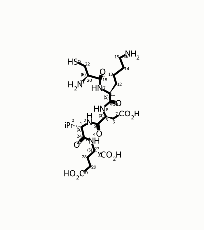 CC(C)[C@H](NC(=O)[C@H](CC(=O)O)NC(=O)[C@H](CCCCN)NC(=O)[C@@H](N)CS)C(=O)N[C@@H](CCC(=O)O)C(=O)O